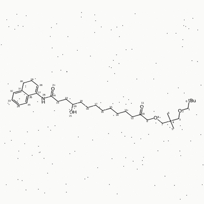 CC(C)(C)COCC(C)(C)COCC(=O)CCCCCCCCC(O)CCC(=O)NC1=CCCc2ccccc21